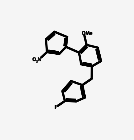 COc1ccc(Cc2ccc(F)cc2)cc1-c1cccc([N+](=O)[O-])c1